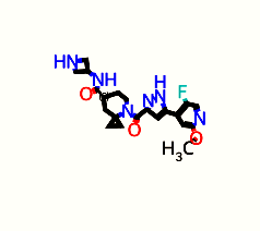 COc1cc(-c2cc(C(=O)N3CC[C@H](C(=O)NC4CNC4)CC34CC4)n[nH]2)c(F)cn1